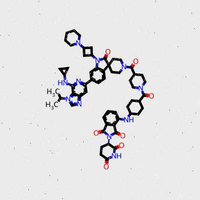 CC(C)n1cnc2cc(-c3ccc4c(c3)N(C3CC(N5CCCCC5)C3)C(=O)C43CCN(C(=O)C4CCN(C(=O)C5CCC(Nc6cccc7c6C(=O)N([C@@H]6CCC(=O)NC6=O)C7=O)CC5)CC4)CC3)nc(NC3CC3)c21